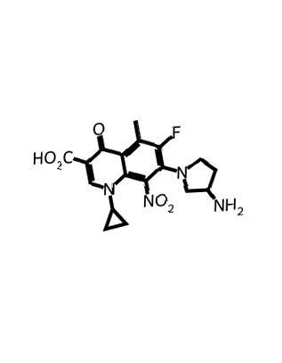 Cc1c(F)c(N2CCC(N)C2)c([N+](=O)[O-])c2c1c(=O)c(C(=O)O)cn2C1CC1